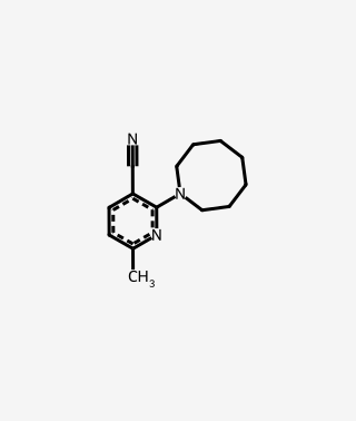 Cc1ccc(C#N)c(N2CCCCCCC2)n1